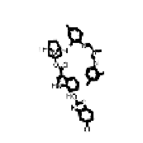 CN1[C@@H]2CC[C@H]1C[C@@H](OC(=O)c1c[nH]c3ccccc13)C2.Cc1ccc(/N=C/N(C)/C=N/c2ccc(C)cc2C)c(C)c1.Oc1nc2cc(Cl)ccc2o1